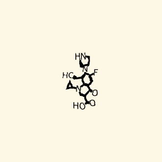 C#Cc1c(N2CC3CC2CN3)c(F)cc2c(=O)c(C(=O)O)cn(C3CC3)c12